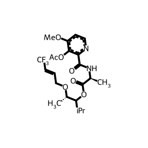 COc1ccnc(C(=O)N[C@@H](C)C(=O)OC(C(C)C)[C@H](C)OC/C=C/C(F)(F)F)c1OC(C)=O